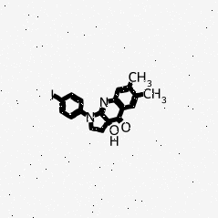 Cc1cc2c(cc1C)C(=O)C1(O)CCN(c3ccc(I)cc3)C1=N2